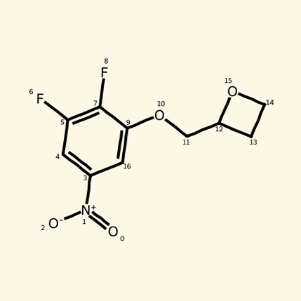 O=[N+]([O-])c1cc(F)c(F)c(OCC2CCO2)c1